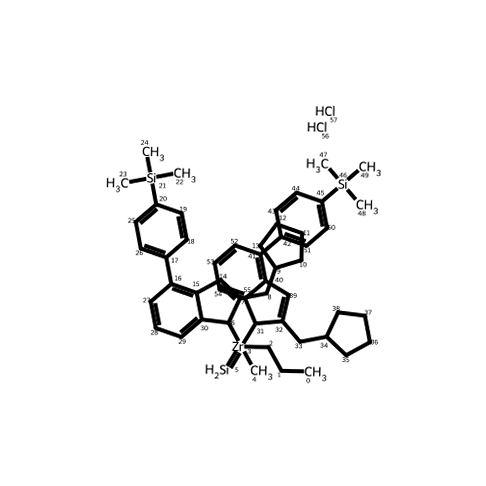 CC[CH2][Zr]([CH3])(=[SiH2])([CH]1C(CC2CCCC2)=Cc2c(-c3ccc([Si](C)(C)C)cc3)cccc21)[CH]1C(CC2CCCC2)=Cc2c(-c3ccc([Si](C)(C)C)cc3)cccc21.Cl.Cl